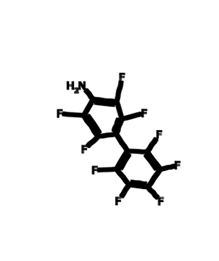 Nc1c(F)c(F)c(-c2c(F)c(F)c(F)c(F)c2F)c(F)c1F